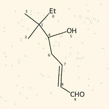 CCC(C)(C)C(O)C/C=C/C=O